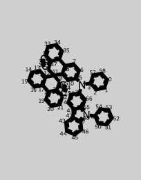 c1ccc(N(c2ccc3c(c2)C2(c4ccccc4-c4cccc5cccc2c45)c2cccc4cccc-3c24)c2ccc3c4ccccc4n(-c4ccccc4)c3c2)cc1